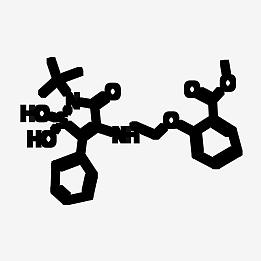 COC(=O)c1ccccc1OCCNC1=C(c2ccccc2)S(O)(O)N(C(C)(C)C)C1=O